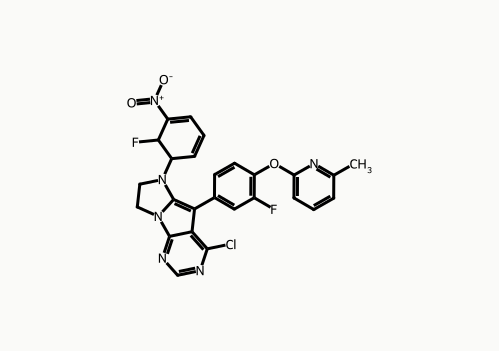 Cc1cccc(Oc2ccc(-c3c4n(c5ncnc(Cl)c35)CCN4C3C=CC=C([N+](=O)[O-])C3F)cc2F)n1